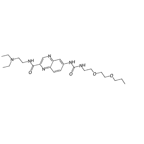 CCCOCCOCCNC(=O)Nc1ccc2nc(C(=O)NCCN(CC)CC)cnc2c1